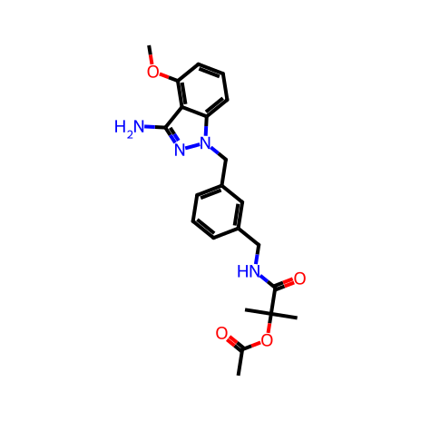 COc1cccc2c1c(N)nn2Cc1cccc(CNC(=O)C(C)(C)OC(C)=O)c1